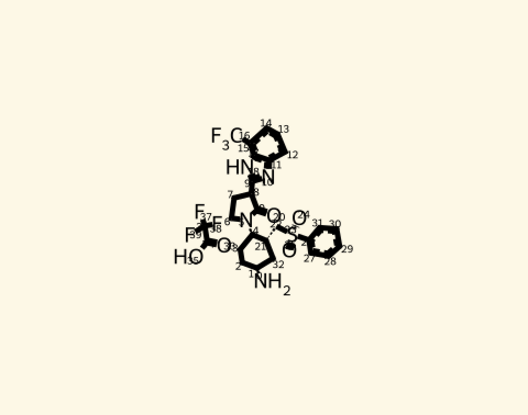 N[C@@H]1CC[C@H](N2CCC(c3nc4cccc(C(F)(F)F)c4[nH]3)C2=O)[C@H](CS(=O)(=O)c2ccccc2)C1.O=C(O)C(F)(F)F